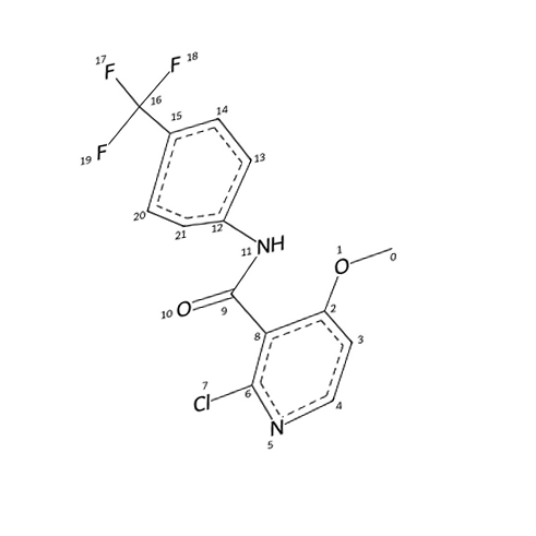 COc1ccnc(Cl)c1C(=O)Nc1ccc(C(F)(F)F)cc1